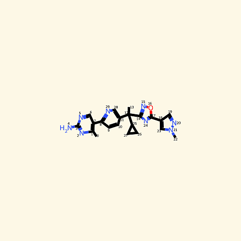 Cc1nc(N)ncc1-c1ccc(C(C)(c2noc(-c3cnn(C)c3)n2)C2CC2)cn1